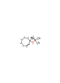 CC1(OC(C#N)(C#N)C#N)/C=C\CCCCC1